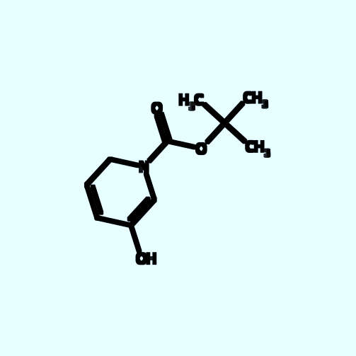 CC(C)(C)OC(=O)N1C=C(O)C=CC1